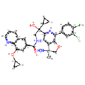 N[C@@]1(C(F)(F)F)COc2c1cc(C(O)(CNC(=O)c1cc(OC3CC3)c3ncccc3c1)C1CC1)nc2-c1ccc(F)c(Cl)c1